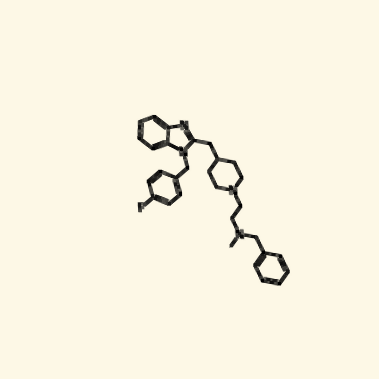 CN(CCN1CCC(Cc2nc3ccccc3n2Cc2ccc(F)cc2)CC1)Cc1ccccc1